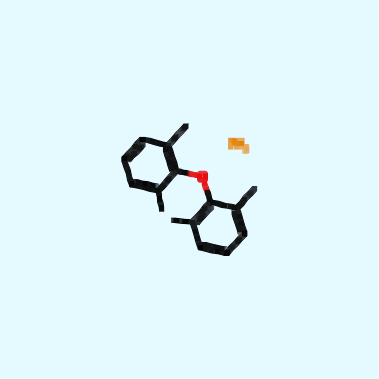 Cc1cccc(C)c1Oc1c(C)cccc1C.P